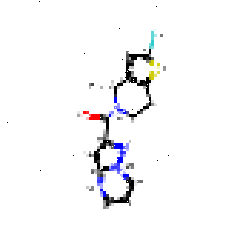 C[C@@H]1c2cc(F)sc2CCN1C(=O)c1cc2ncccn2n1